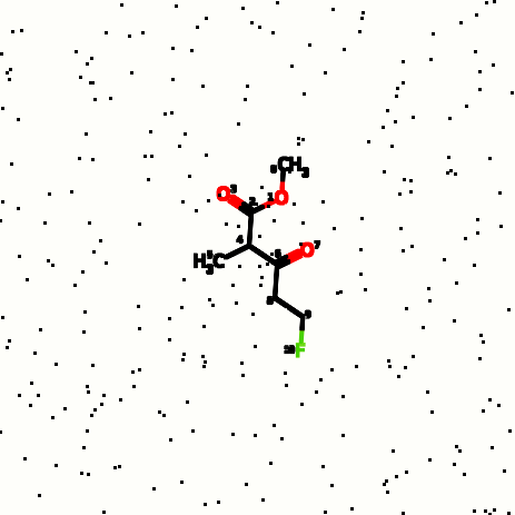 COC(=O)C(C)C(=O)CCF